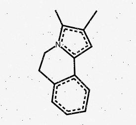 Cc1cc2n(c1C)CCc1ccccc1-2